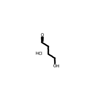 Cl.O=CCCCO